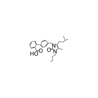 CCCCn1c(C)c(CCC(C)C)n(Cc2ccc(-c3ccccc3C(=O)O)cc2)c1=O